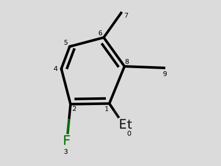 CCc1c(F)ccc(C)c1C